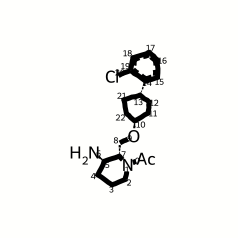 CC(=O)N1CCC[C@H](N)[C@@H]1CO[C@H]1CC[C@@H](c2ccccc2Cl)CC1